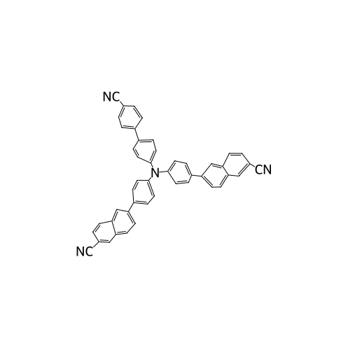 N#Cc1ccc(-c2ccc(N(c3ccc(-c4ccc5cc(C#N)ccc5c4)cc3)c3ccc(-c4ccc5cc(C#N)ccc5c4)cc3)cc2)cc1